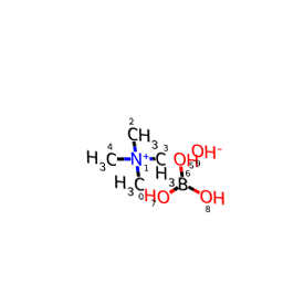 C[N+](C)(C)C.OB(O)O.[OH-]